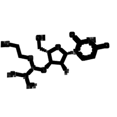 CCCN(CCC)P(OCCC#N)O[C@@H]1[C@H](F)[C@@H](n2ccc(=O)[nH]c2=O)O[C@H]1CO